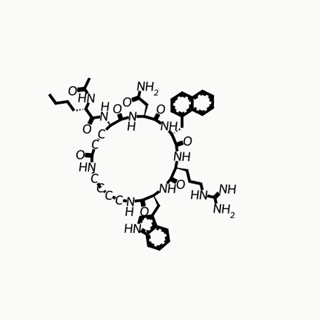 CCCC[C@H](NC(C)=O)C(=O)N[C@H]1CCC(=O)NCCCCNC(=O)[C@H](Cc2c[nH]c3ccccc23)NC(=O)[C@H](CCCNC(=N)N)NC(=O)[C@@H](Cc2cccc3ccccc23)NC(=O)[C@H](CC(N)=O)NC1=O